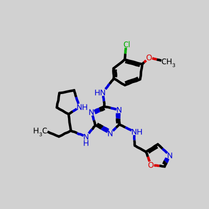 CCC(Nc1nc(NCc2cnco2)nc(Nc2ccc(OC)c(Cl)c2)n1)C1CCCN1